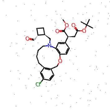 COC(=O)[C@@H](CC(=O)OC(C)(C)C)c1ccc2c(c1)N(C[C@@H]1CC[C@H]1C=O)CCCCc1cc(Cl)ccc1CO2